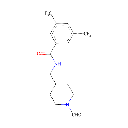 O=CN1CCC(CNC(=O)c2cc(C(F)(F)F)cc(C(F)(F)F)c2)CC1